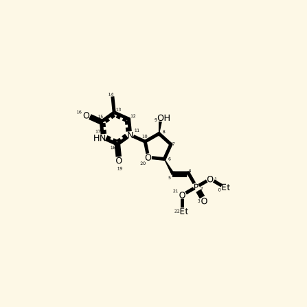 CCOP(=O)(/C=C/[C@@H]1C[C@H](O)C(n2cc(C)c(=O)[nH]c2=O)O1)OCC